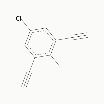 C#Cc1cc(Cl)cc(C#C)c1C